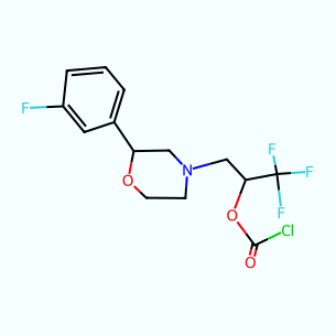 O=C(Cl)OC(CN1CCOC(c2cccc(F)c2)C1)C(F)(F)F